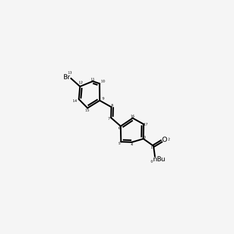 CCCCC(=O)c1ccc(C=Cc2ccc(Br)cc2)cc1